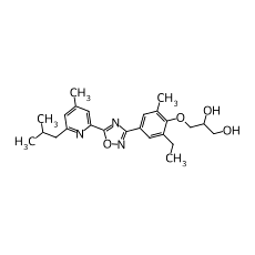 CCc1cc(-c2noc(-c3cc(C)cc(CC(C)C)n3)n2)cc(C)c1OCC(O)CO